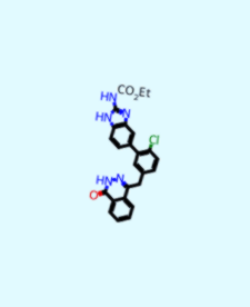 CCOC(=O)Nc1nc2cc(-c3cc(Cc4n[nH]c(=O)c5ccccc45)ccc3Cl)ccc2[nH]1